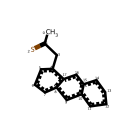 CC(=S)Cc1cccc2cc3ccccc3cc12